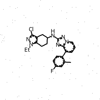 CCn1nc(Cl)c2c1CCC(Nc1nc3c(-c4ccc(F)cc4C)cccn3n1)C2